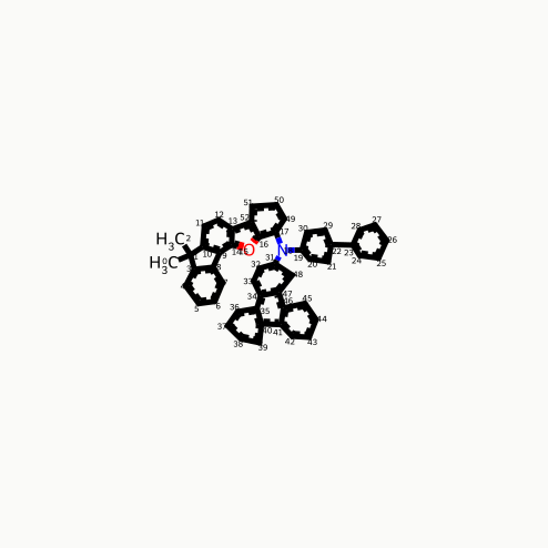 CC1(C)c2ccccc2-c2c1ccc1c2oc2c(N(c3ccc(-c4ccccc4)cc3)c3ccc4c5ccccc5c5ccccc5c4c3)cccc21